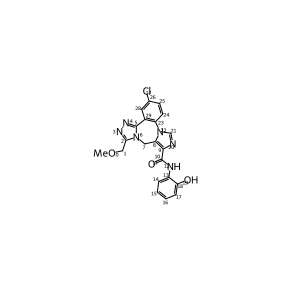 COCc1nnc2n1Cc1c(C(=O)Nc3ccccc3O)ncn1-c1ccc(Cl)cc1-2